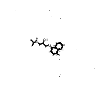 CC(C)NC[C@@H](O)COc1ccc(F)c2ccccc12